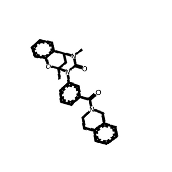 CN1C(=O)N(c2cccc(C(=O)N3CCc4ccccc4C3)c2)C2(C)CC1c1ccccc1O2